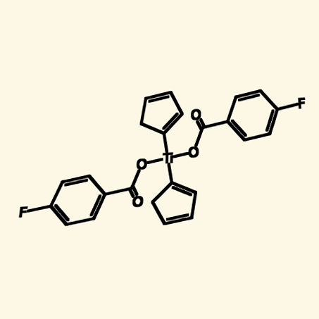 O=C([O][Ti]([O]C(=O)c1ccc(F)cc1)([C]1=CC=CC1)[C]1=CC=CC1)c1ccc(F)cc1